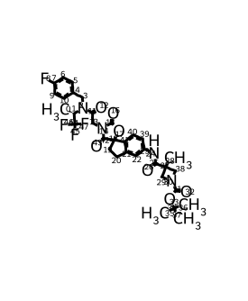 C[C@H](N(Cc1ccc(F)cc1)C(=O)CN1C(=O)OC2(CCc3cc(NC(=O)C4(C)CN(C(=O)OC(C)(C)C)C4)ccc32)C1=O)C(F)(F)F